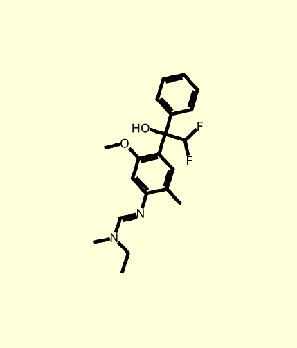 CCN(C)/C=N/c1cc(OC)c(C(O)(c2ccccc2)C(F)F)cc1C